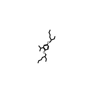 CCCCC(CC)COc1ccc(OCC(CC)CCCC)c(C(C)C)c1